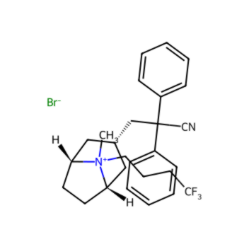 C[N+]1(CCCC(F)(F)F)[C@@H]2CC[C@H]1C[C@@H](CC(C#N)(c1ccccc1)c1ccccc1)C2.[Br-]